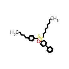 CCCCCCCCCSC1(OC(=S)c2ccc(CCCCC)cc2)C=CC(c2ccccc2)=CC1